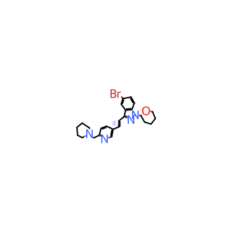 Brc1ccc2c(c1)c(/C=C/c1ccc(CN3CCCCC3)nc1)nn2C1CCCCO1